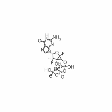 C[C@]1(F)[C@H](n2cnc3c(=O)[nH]c(N)nc32)O[C@]2(F)C(OP(=O)(O)OP(=O)(O)OP(=O)(O)O)[C@]12O